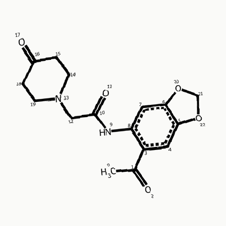 CC(=O)c1cc2c(cc1NC(=O)CN1CCC(=O)CC1)OCO2